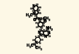 COc1cc(-c2nn(C3CCN(C(C)C)CC3)c3ncnc(N)c23)ccc1NC(=O)c1cc2ccncc2n1C